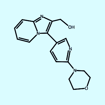 OCc1nc2ccccn2c1-c1ccc(N2CCOCC2)nc1